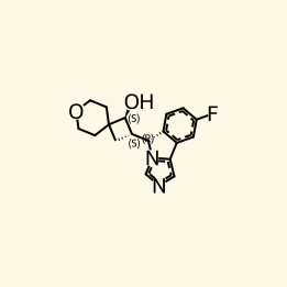 O[C@H]1[C@H]([C@@H]2c3ccc(F)cc3-c3cncn32)CC12CCOCC2